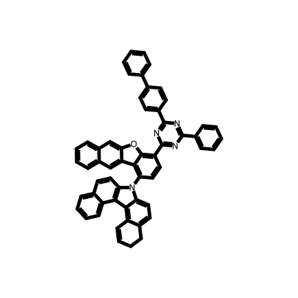 C1=Cc2c(ccc3c2c2c4ccccc4ccc2n3-c2ccc(-c3nc(-c4ccccc4)nc(-c4ccc(-c5ccccc5)cc4)n3)c3oc4cc5ccccc5cc4c23)CC1